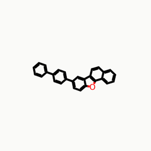 c1ccc(-c2ccc(-c3ccc4oc5c6ccccc6ccc5c4c3)cc2)cc1